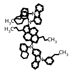 CCCc1cccc(-n2c3ccccc3c3cc(N(c4cccc5c4CCCC5)c4cc(CCC)c5ccc6c(N(c7cccc8c7CCCC8)c7cccc8c9ccccc9n(-c9cccc(CCC)c9)c78)cc(CCC)c7ccc4c5c76)ccc32)c1